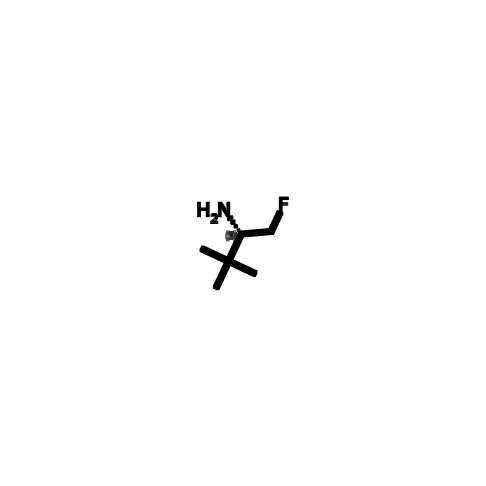 CC(C)(C)[C@H](N)CF